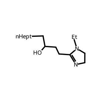 CCCCCCCCC(O)CCC1=NCCN1CC